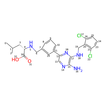 CC(C)C[C@H](NCc1cccc(-c2cnc(N)c(NCc3c(Cl)cccc3Cl)n2)c1)C(=O)O